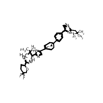 CC(C)(C)Cc1ncc(-c2ccc(C34CCC(c5cnc([C@@H](NC(=O)C6CCC(F)(F)CO6)C(C)(C)C)[nH]5)(CC3)CC4)cc2)[nH]1